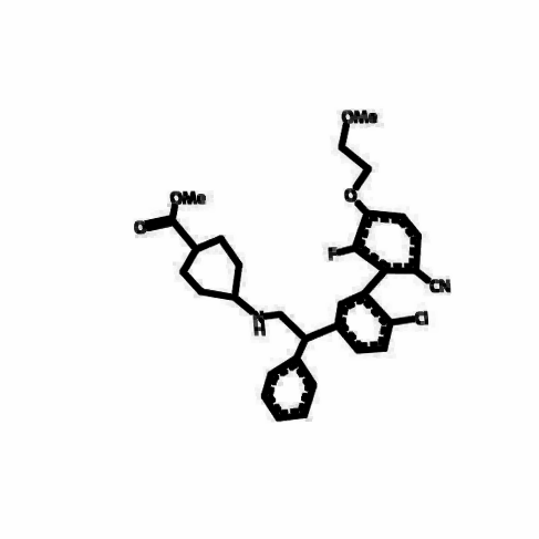 COCCOc1ccc(C#N)c(-c2cc(C(CNC3CCC(C(=O)OC)CC3)c3ccccc3)ccc2Cl)c1F